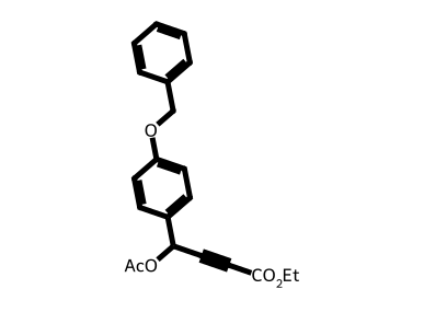 CCOC(=O)C#CC(OC(C)=O)c1ccc(OCc2ccccc2)cc1